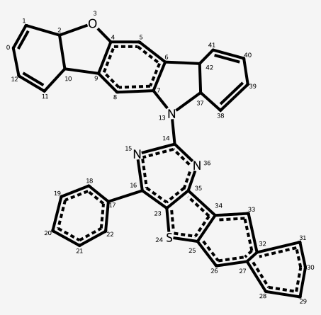 C1=CC2Oc3cc4c(cc3C2C=C1)N(c1nc(-c2ccccc2)c2sc3cc5ccccc5cc3c2n1)C1C=CC=CC41